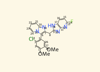 COc1cc(Cl)c(-c2c(Cc3nc4nc(F)ccc4[nH]3)nc3ccccn23)cc1OC